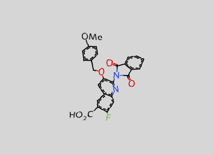 COc1ccc(COc2cc3cc(C(=O)O)c(F)cc3nc2N2C(=O)c3ccccc3C2=O)cc1